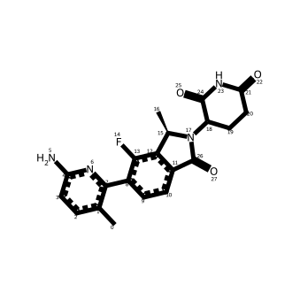 Cc1ccc(N)nc1-c1ccc2c(c1F)[C@@H](C)N(C1CCC(=O)NC1=O)C2=O